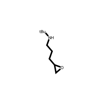 CC(C)(C)NCCCC1CO1